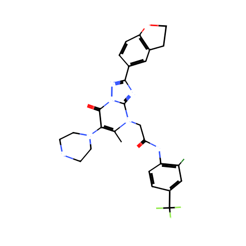 Cc1c(N2CCNCC2)c(=O)n2nc(-c3ccc4c(c3)CCO4)nc2n1CC(=O)Nc1ccc(C(F)(F)F)cc1Cl